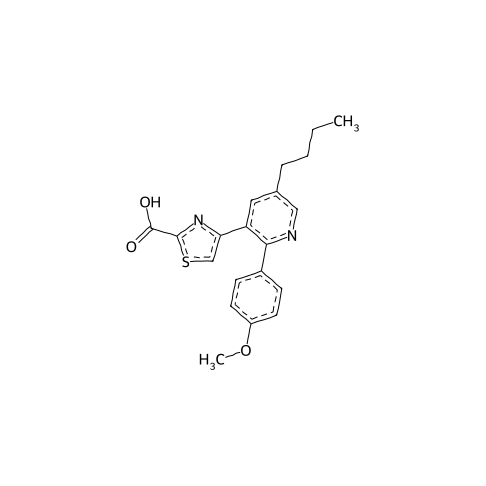 CCCCc1cnc(-c2ccc(OC)cc2)c(-c2csc(C(=O)O)n2)c1